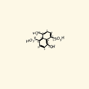 Nc1ccc(S(=O)(=O)O)c2c(O)ccc(S(=O)(=O)O)c12